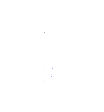 CC[C@@]1(C)NC(=O)N(c2ccnc(Oc3ccc(Cl)c(OC)c3)c2)C1=O